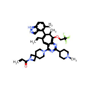 C=CC(=O)N1CC2(CCN(c3nc(C4CCN(C)CC4)nc4c3=CC(C=C)=C(c3c(C)ccc5[nH]ncc35)C(C)C=4OCC(F)(F)F)CC2)C1